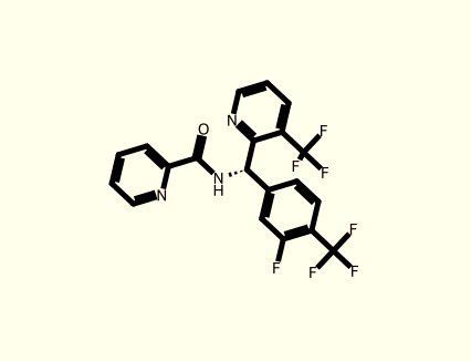 O=C(N[C@@H](c1ccc(C(F)(F)F)c(F)c1)c1ncccc1C(F)(F)F)c1ccccn1